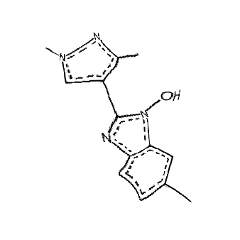 Cc1ccc2nc(-c3cn(C)nc3C)n(O)c2c1